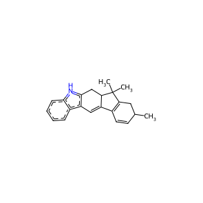 CC1C=CC2=C(C1)C(C)(C)C1Cc3[nH]c4ccccc4c3C=C21